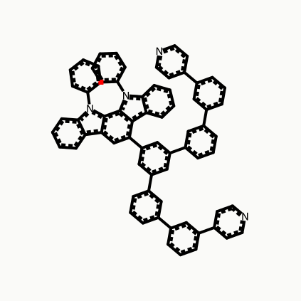 c1ccc(-n2c3ccccc3c3cc(-c4cc(-c5cccc(-c6cccc(-c7ccncc7)c6)c5)cc(-c5cccc(-c6cccc(-c7ccncc7)c6)c5)c4)c4c5ccccc5n(-c5ccccc5)c4c32)cc1